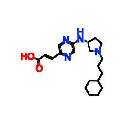 O=C(O)C=Cc1cnc(N[C@@H]2CCN(CCCC3CCCCC3)C2)cn1